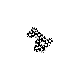 C1=CCC(c2ccccc2-c2ccc(N(c3cccc(C4=Cc5ccccc5C5C=CC=CC45)c3)c3cccc(-c4cc5ccccc5c5ccccc45)c3)cc2)C=C1